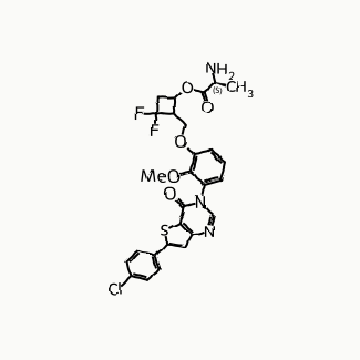 COc1c(OCC2C(OC(=O)[C@H](C)N)CC2(F)F)cccc1-n1cnc2cc(-c3ccc(Cl)cc3)sc2c1=O